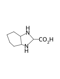 O=C(O)C1NC2CCCCC2N1